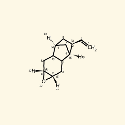 C=C[C@@H]1C[C@H]2C[C@@H]1C1C[C@@H]3O[C@@H]3CC12